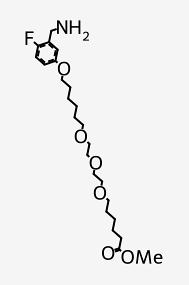 COC(=O)CCCCCOCCOCCOCCCCCCOc1ccc(F)c(CN)c1